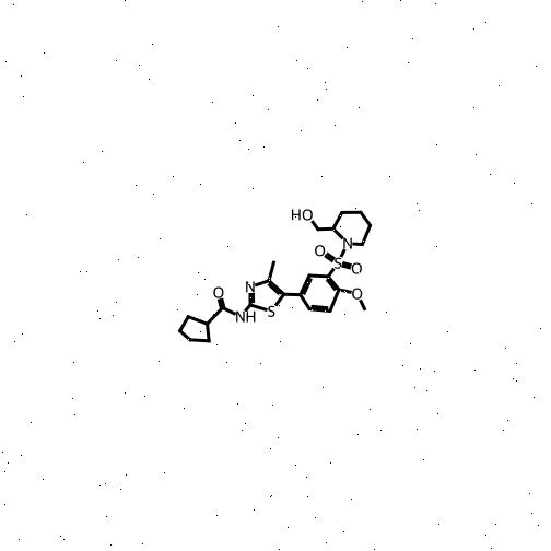 COc1ccc(-c2sc(NC(=O)C3CCCC3)nc2C)cc1S(=O)(=O)N1CCCCC1CO